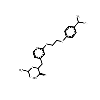 CC(C)OC(Cc1ccnc(OCCOc2ccc(C(C)C)cc2)c1)C(=O)O